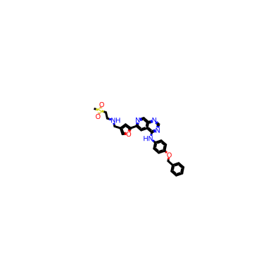 CS(=O)(=O)CCNCc1coc(-c2cc3c(Nc4ccc(OCc5ccccc5)cc4)ncnc3cn2)c1